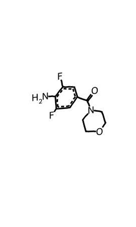 Nc1c(F)cc(C(=O)N2CCOCC2)cc1F